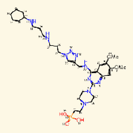 COc1cc2nc(N3CCN(CCP(=O)(O)O)CC3)nc(NCc3cn(CCCNCCCNC4CCCCC4)nn3)c2cc1OC